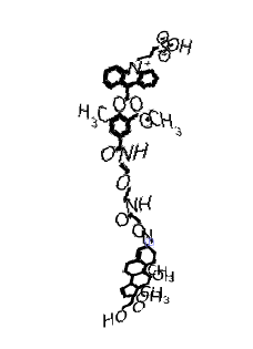 COCc1cc(C(=O)NCCOCCNC(=O)CO/N=C2\C=C3CCC4C(C(O)CC5(C)C4CCC5(O)C(=O)CO)C3(C)CC2)cc(C)c1OC(=O)c1c2ccccc2[n+](CCCS(=O)(=O)O)c2ccccc12